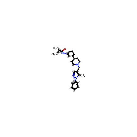 Cc1c(CN2CCC(c3cccc(NC(=O)C(C)C)c3)CC2)cnn1-c1ccccc1